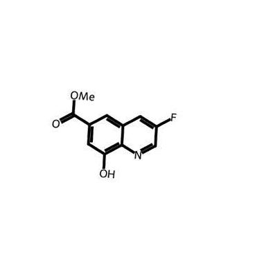 COC(=O)c1cc(O)c2ncc(F)cc2c1